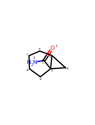 NC(=O)C12[CH]C1CCCC2